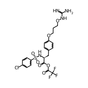 N=C(N)NOCCCOc1ccc(C[C@H](NS(=O)(=O)c2ccc(Cl)cc2)C(=O)OC(=O)C(F)(F)F)cc1